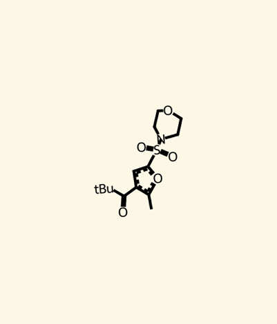 Cc1oc(S(=O)(=O)N2CCOCC2)cc1C(=O)C(C)(C)C